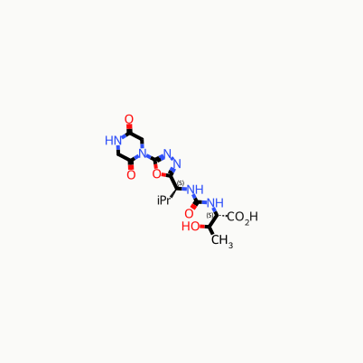 CC(O)[C@H](NC(=O)N[C@H](c1nnc(N2CC(=O)NCC2=O)o1)C(C)C)C(=O)O